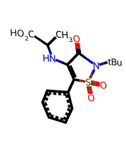 CC(NC1=C(c2ccccc2)S(=O)(=O)N(C(C)(C)C)C1=O)C(=O)O